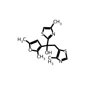 Cc1csc(C(O)(Cc2scnc2C)c2cc(C)oc2C)n1